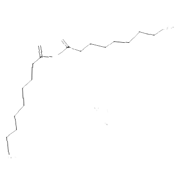 CCCCCCCCCCCCCCCCCC(=O)OC(=O)CCCCCCCCCCCCCCCCC.[BaH2].[MgH2]